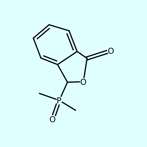 CP(C)(=O)C1OC(=O)c2ccccc21